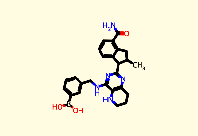 CC1Cc2c(C(N)=O)cccc2C1c1nc2c(c(NCc3cccc(B(O)O)c3)n1)NCCC2